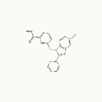 COC(=O)c1cccc(Cn2c(-c3ccccc3)cc3cc(F)ccc32)n1